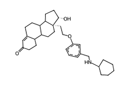 O=C1C=C2CCC3C(CC[C@@]4(CCOc5cccc(CNC6CCCCC6)c5)C3CC[C@@H]4O)C2CC1